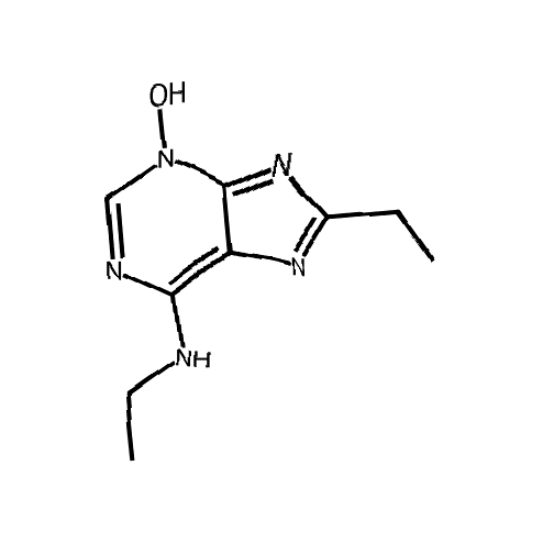 CCNc1ncn(O)c2nc(CC)nc1-2